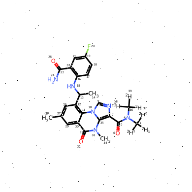 [2H]C([2H])([2H])N(C(=O)c1ncn2c3c(C(C)Nc4ccc(F)cc4C(N)=O)cc(C)cc3c(=O)n(C)c12)C([2H])([2H])[2H]